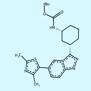 Cc1nc(C)c(-c2ccc3nnc([C@H]4CCC[C@@H](NC(=O)OC(C)(C)C)C4)n3c2)s1